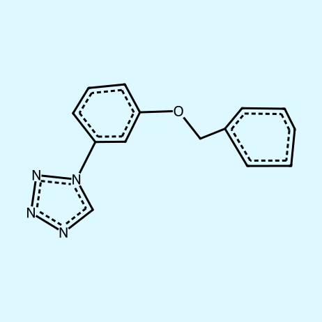 c1ccc(COc2cccc(-n3cnnn3)c2)cc1